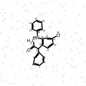 CC(=O)C(c1ccccc1)c1ccc(Cl)cc1Nc1ccccc1